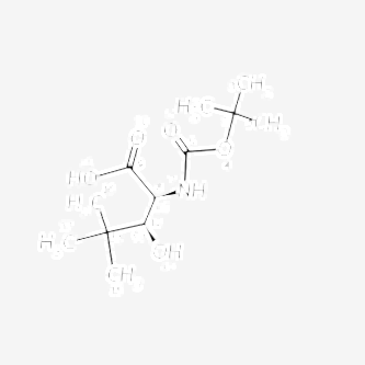 CC(C)(C)OC(=O)N[C@H](C(=O)O)[C@@H](O)C(C)(C)C